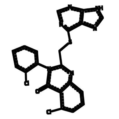 O=c1c2c(Cl)cccc2nc(CSc2ncnc3[nH]cnc23)n1-c1ccccc1Cl